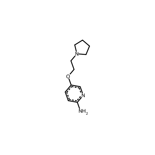 Nc1ccc(OCCN2CCCC2)cn1